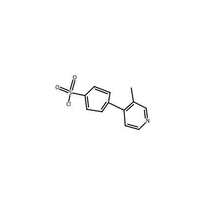 Cc1cnccc1-c1ccc(S(=O)(=O)Cl)cc1